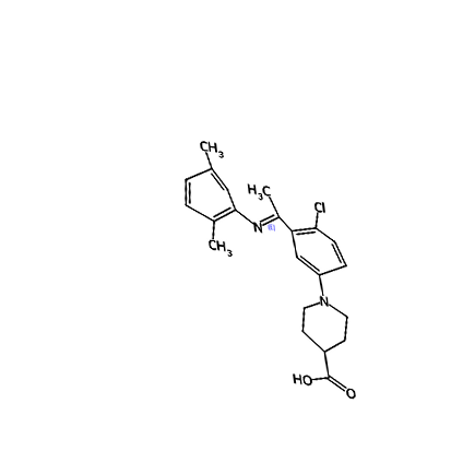 C/C(=N\c1cc(C)ccc1C)c1cc(N2CCC(C(=O)O)CC2)ccc1Cl